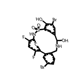 O=S1(=O)Nc2cc(c(F)cc2F)-c2cc(Br)ccc2CNC(O)c2cc(Br)c(O)c1c2